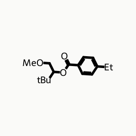 CCc1ccc(C(=O)OC(COC)C(C)(C)C)cc1